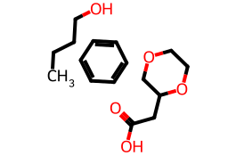 CCCCO.O=C(O)CC1COCCO1.c1ccccc1